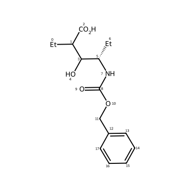 CCC(C(=O)O)C(O)[C@H](CC)NC(=O)OCc1ccccc1